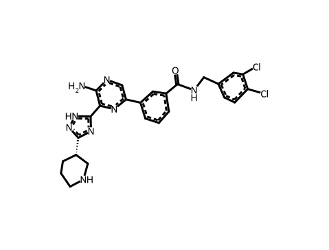 Nc1ncc(-c2cccc(C(=O)NCc3ccc(Cl)c(Cl)c3)c2)nc1-c1nc([C@H]2CCCNC2)n[nH]1